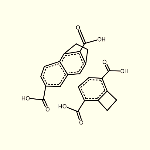 O=C(O)c1ccc(C(=O)O)c2c1CC2.O=C(O)c1ccc2c3c(C(=O)O)c(cc2c1)CC3